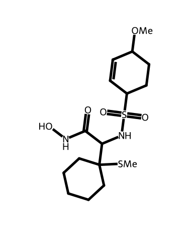 COC1C=CC(S(=O)(=O)NC(C(=O)NO)C2(SC)CCCCC2)CC1